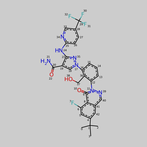 CC(C)(C)c1cc(F)c2c(=O)n(-c3cccc(-n4cc(C(N)=O)c(Nc5ccc(C(F)(F)F)cn5)n4)c3CO)ncc2c1